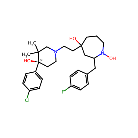 CC1(C)CN(CCC2(O)CCCN(O)C(Cc3ccc(F)cc3)C2)CC[C@]1(O)c1ccc(Cl)cc1